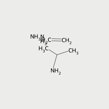 C=C.CC(C)N.N.N